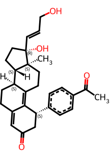 CC(=O)c1ccc([C@@H]2CC(=O)C=C3CC[C@@H]4C(=C32)CC[C@@]2(C)[C@H]4CC[C@@]2(O)C=CCO)cc1